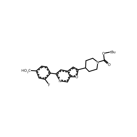 CC(C)(C)OC(=O)N1CCC(c2cc3cc(-c4ccc(C(=O)O)cc4F)ncc3o2)CC1